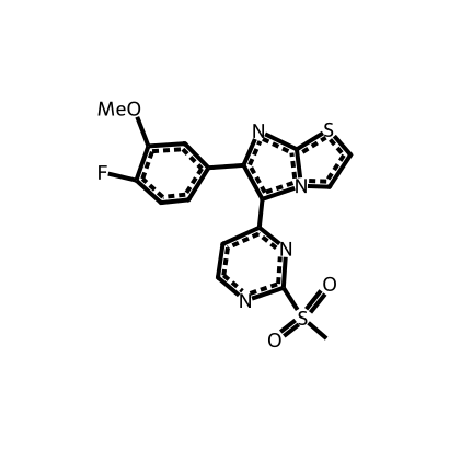 COc1cc(-c2nc3sccn3c2-c2ccnc(S(C)(=O)=O)n2)ccc1F